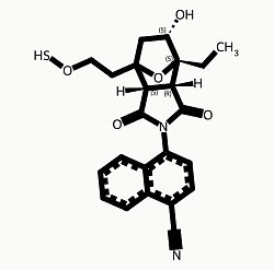 CC[C@@]12OC(CCOS)(C[C@@H]1O)[C@H]1C(=O)N(c3ccc(C#N)c4ccccc34)C(=O)[C@H]12